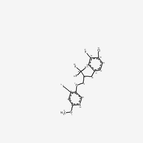 COc1cc(I)c(OCC(Cc2ccc(Cl)c(F)c2)C(F)(F)F)cn1